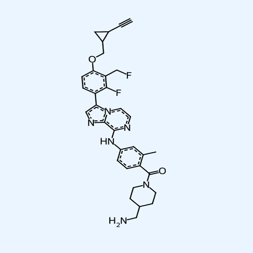 C#CC1CC1COc1ccc(-c2cnc3c(Nc4ccc(C(=O)N5CCC(CN)CC5)c(C)c4)nccn23)c(F)c1CF